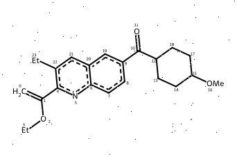 C=C(OCC)c1nc2ccc(C(=O)C3CCC(OC)CC3)cc2cc1CC